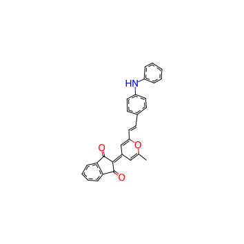 CC1=CC(=C2C(=O)c3ccccc3C2=O)C=C(C=Cc2ccc(Nc3ccccc3)cc2)O1